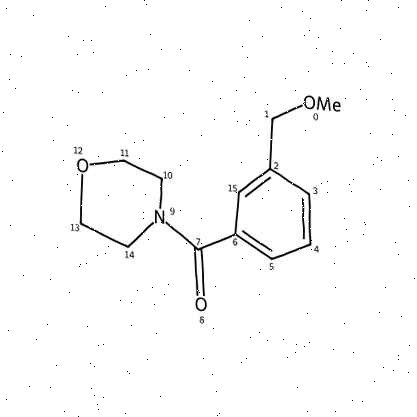 COCc1cccc(C(=O)N2CCOCC2)c1